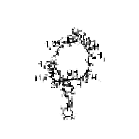 CO[C@H]1/C=C/O[C@@]2(C)Oc3c(C)c(O)c4c(O)c(c5c(c4c3C2=O)NC2C=C(/C=N/N3CCCCC3)C=CN52)NC(=O)/C(C)=C\C=C\[C@H](C)[C@H](O)[C@@H](C)[C@@H](O)[C@@H](C)[C@H](OC(C)=O)[C@@H]1C